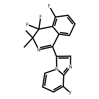 CC1(C)N=C(c2cnc3c(F)cccn23)c2cccc(F)c2C1(F)F